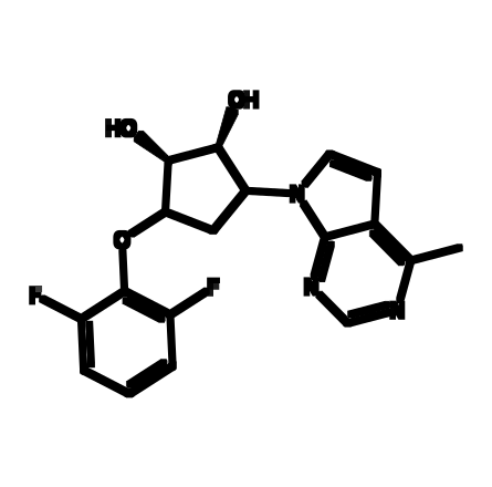 Cc1ncnc2c1ccn2C1CC(Oc2c(F)cccc2F)[C@@H](O)[C@H]1O